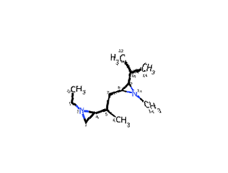 CCN1CC1C(C)CC1C(C(C)C)N1C